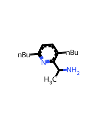 CCCCc1ccc(CCCC)c(C(C)N)n1